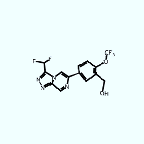 OCc1cc(-c2cn3c(C(F)F)nnc3cn2)ccc1OC(F)(F)F